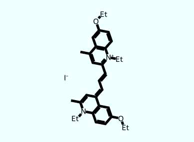 CCOc1ccc2c(c1)/C(=C/C=C/c1cc(C)c3cc(OCC)ccc3[n+]1CC)C=C(C)N2CC.[I-]